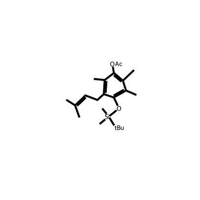 CC(=O)Oc1c(C)c(C)c(O[Si](C)(C)C(C)(C)C)c(CC=C(C)C)c1C